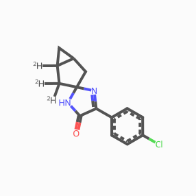 [2H]C12CC1CC1(N=C(c3ccc(Cl)cc3)C(=O)N1)C2([2H])[2H]